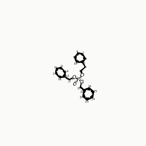 O=P(OCCc1ccccc1)(OCc1ccccc1)OCc1ccccc1